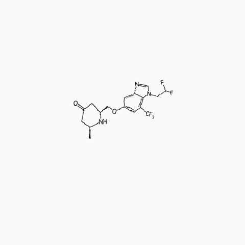 C[C@H]1CC(=O)C[C@@H](COc2cc(C(F)(F)F)c3c(c2)ncn3CC(F)F)N1